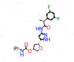 CC(C)NC(=O)O[C@H]1CO[C@@H](c2cc(NC(=O)[C@@H](C)c3cc(F)cc(F)c3)n[nH]2)C1